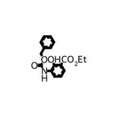 CCOC(=O)c1cccc(NC(=O)OCc2ccccc2)c1O